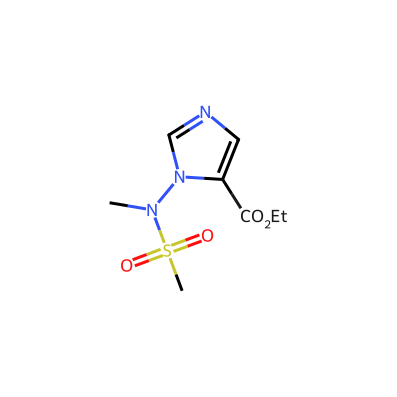 CCOC(=O)c1cncn1N(C)S(C)(=O)=O